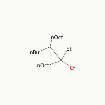 CCCCCCCCC(CCCC)C([O])(CC)CCCCCCCC